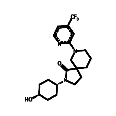 O=C1N([C@H]2CC[C@H](O)CC2)CCC12CCCN(c1cc(C(F)(F)F)ccn1)C2